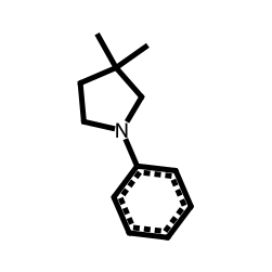 CC1(C)CCN(c2ccccc2)C1